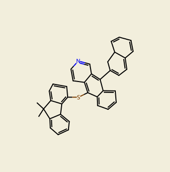 CC1(C)c2ccccc2-c2c(Sc3c4ccccc4c(C4=CC=C5C=CC=CC5C4)c4cnccc34)cccc21